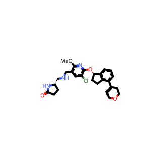 COc1nc(O[C@H]2CCc3c(C4=CCOCC4)cccc32)c(Cl)cc1CNC[C@@H]1CCC(=O)N1